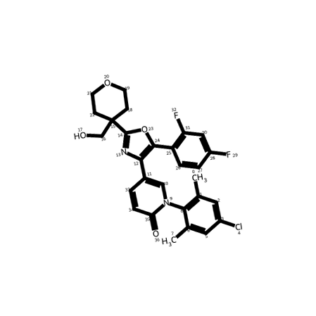 Cc1cc(Cl)cc(C)c1-n1cc(-c2nc(C3(CO)CCOCC3)oc2-c2ccc(F)cc2F)ccc1=O